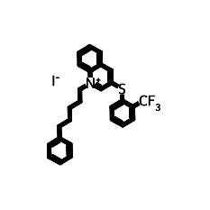 FC(F)(F)c1ccccc1Sc1cc2ccccc2[n+](CCCCCc2ccccc2)c1.[I-]